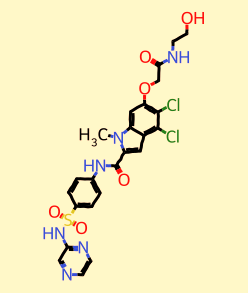 Cn1c(C(=O)Nc2ccc(S(=O)(=O)Nc3cnccn3)cc2)cc2c(Cl)c(Cl)c(OCC(=O)NCCO)cc21